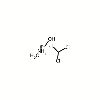 CC(C)O.ClC(Cl)Cl.N.O